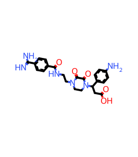 N=C(N)c1ccc(C(=O)NCCN2CCN(C(CC(=O)O)c3ccc(N)cc3)C(=O)C2=O)cc1